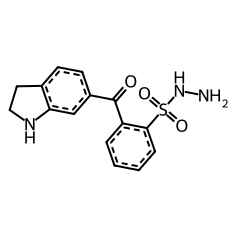 NNS(=O)(=O)c1ccccc1C(=O)c1ccc2c(c1)NCC2